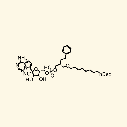 CCCCCCCCCCCCCCCCCCOC[C@@H](CCc1ccccc1)COP(=O)(O)OC[C@H]1O[C@@](C#N)(c2ccc3c(N)ncnn23)[C@H](O)[C@@H]1O